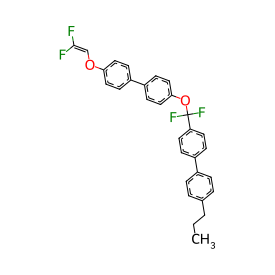 CCCc1ccc(-c2ccc(C(F)(F)Oc3ccc(-c4ccc(OC=C(F)F)cc4)cc3)cc2)cc1